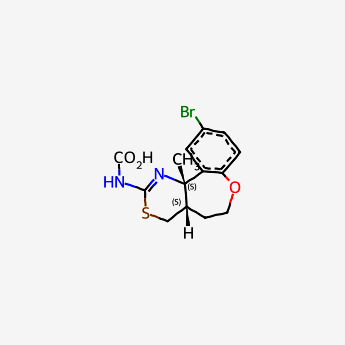 C[C@]12N=C(NC(=O)O)SC[C@H]1CCOc1ccc(Br)cc12